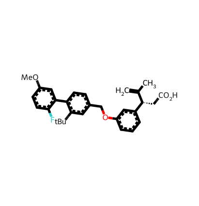 C=C(C)[C@H](CC(=O)O)c1cccc(OCc2ccc(-c3cc(OC)ccc3F)c(C(C)(C)C)c2)c1